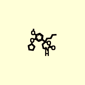 CCCCC1(c2ccc(OC)c(OC3CCCC3)c2)CCNC(=O)O1